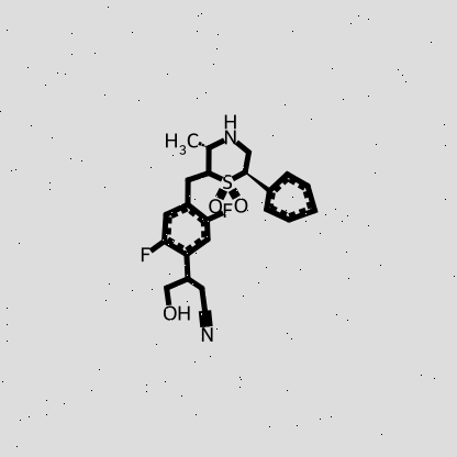 C[C@@H]1NC[C@@H](c2ccccc2)S(=O)(=O)C1Cc1cc(F)c(C(CO)CC#N)cc1F